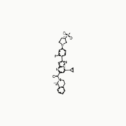 C[C@@H]1c2ccccc2CCN1C(=O)c1cc(C2CC2)n2nc(-c3ccc(N4CC[C@@H](S(C)(=O)=O)C4)cc3F)cc2n1